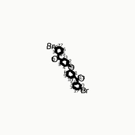 O=C(c1ccc(Oc2cccc(C(=O)c3cccc(Br)c3)c2)cc1)c1cccc(Br)c1